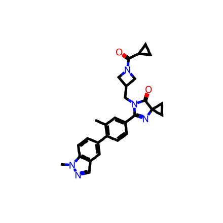 Cc1cc(C2=NC3(CC3)C(=O)N2CC2CN(C(=O)C3CC3)C2)ccc1-c1ccc2c(cnn2C)c1